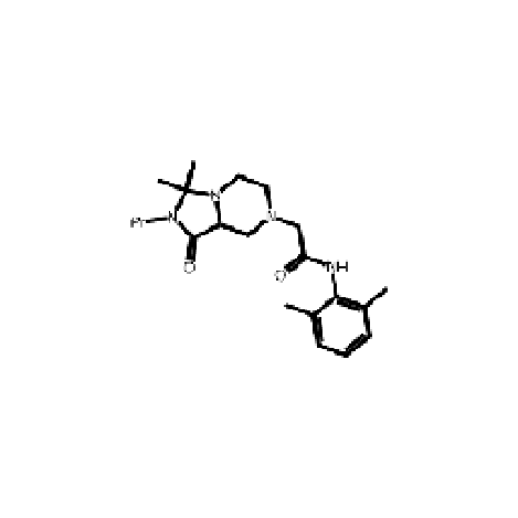 Cc1cccc(C)c1NC(=O)CN1CCN2C(C1)C(=O)N(C(C)C)C2(C)C